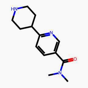 CN(C)C(=O)c1ccc(C2CCNCC2)nc1